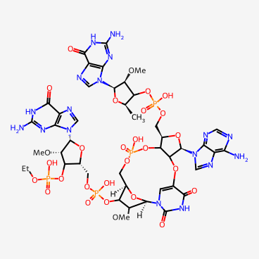 CCOP(=O)(O)OC1[C@@H](COP(=O)(O)OC2C(OC)[C@H]3O[C@@H]2COP(=O)(O)OC2C(Oc4cn3c(=O)[nH]c4=O)[C@H](n3cnc4c(N)ncnc43)O[C@@H]2COP(=O)(O)OC2[C@@H](C)O[C@@H](n3cnc4c(=O)[nH]c(N)nc43)[C@H]2OC)O[C@@H](n2cnc3c(=O)[nH]c(N)nc32)[C@H]1OC